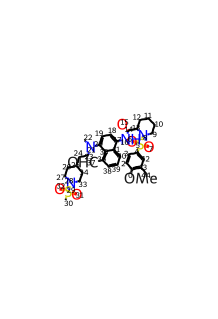 COc1ccc(S(=O)(=O)N2CCCCC2C(=O)Nc2ccc(N(C)CCC3CCN(S(C)(=O)=O)CC3)c3c(C=O)cccc23)cc1C